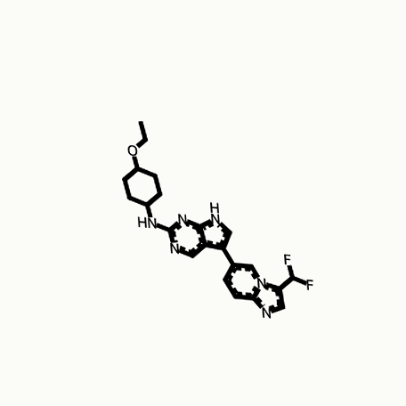 CCOC1CCC(Nc2ncc3c(-c4ccc5ncc(C(F)F)n5c4)c[nH]c3n2)CC1